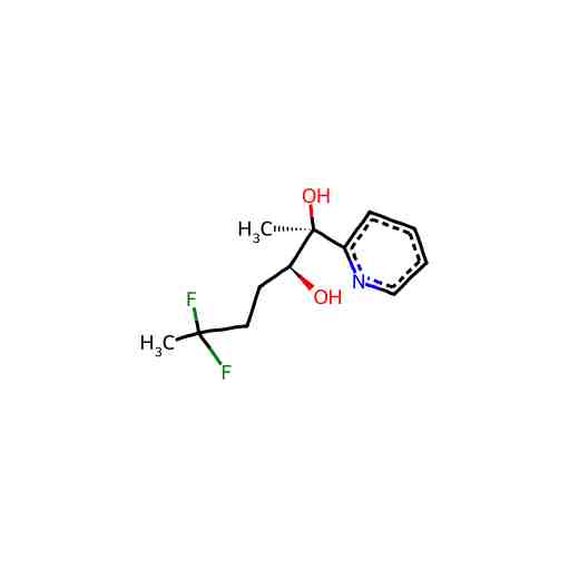 CC(F)(F)CC[C@H](O)[C@@](C)(O)c1ccccn1